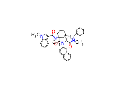 C[C@@H](C(=O)N(C)Cc1ccccc1)N(C(=O)C1(N(C)C(=O)c2cn(C)c3ccccc23)CCCCC1)c1ccc2ccccc2c1